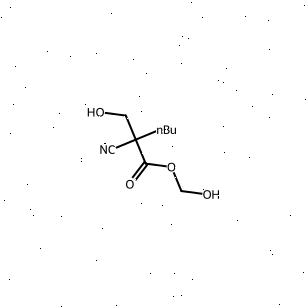 CCCCC(C#N)(CO)C(=O)OCO